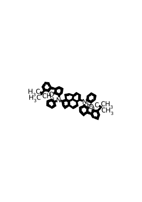 CC(C)(C)c1cccc2c1oc1c(N(C3=CC=C4C=Cc5c(N(c6ccccc6)c6cccc7c6oc6c(C(C)(C)C)cccc67)ccc6c5C4C3C=C6)c3ccccc3)cccc12